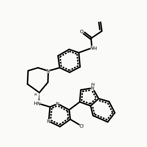 C=CC(=O)Nc1ccc(N2CCC[C@@H](Nc3ncc(Cl)c(-c4c[nH]c5ccccc45)n3)C2)cc1